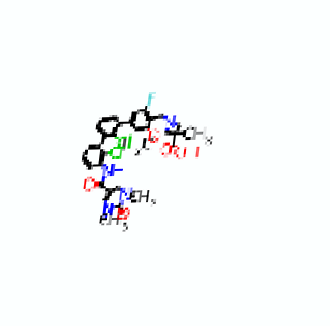 COc1cc(-c2cccc(-c3cccc(NC(=O)C4=CN(C)C(=O)N(C)C4)c3Cl)c2Cl)cc(F)c1CN1CC(C)(C(=O)O)C1